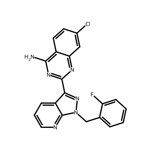 Nc1nc(-c2nn(Cc3ccccc3F)c3ncccc23)nc2cc(Cl)ccc12